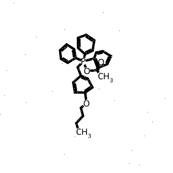 CCCCOc1ccc(CP(OC(C)=O)(c2ccccc2)(c2ccccc2)c2ccccc2)cc1